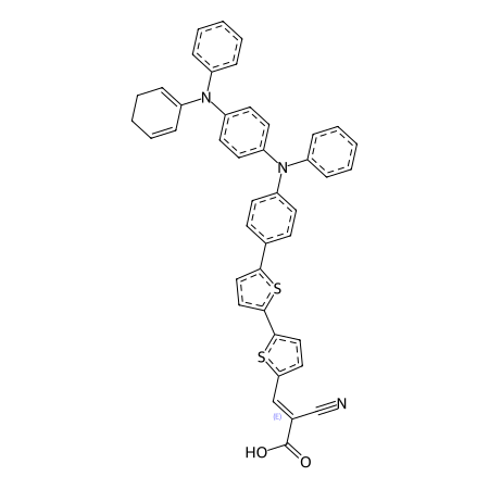 N#C/C(=C\c1ccc(-c2ccc(-c3ccc(N(c4ccccc4)c4ccc(N(C5=CCCC=C5)c5ccccc5)cc4)cc3)s2)s1)C(=O)O